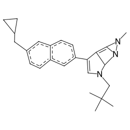 CN1C2=C3C(c4ccc5cc(CC6CC6)ccc5c4)=CN(CC(C)(C)C)C3N21